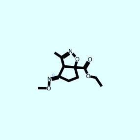 CCOC(=O)C12CC/C(=N\OC)C1C(C)=NO2